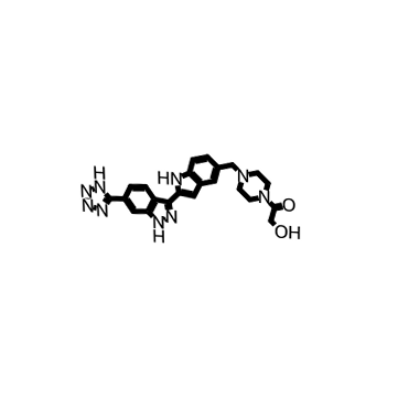 O=C(CO)N1CCN(Cc2ccc3[nH]c(-c4n[nH]c5cc(-c6nnn[nH]6)ccc45)cc3c2)CC1